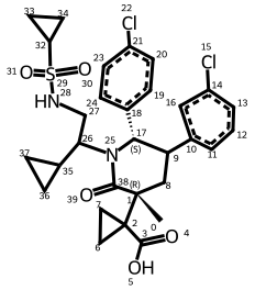 C[C@]1(C2(C(=O)O)CC2)CC(c2cccc(Cl)c2)[C@@H](c2ccc(Cl)cc2)N(C(CNS(=O)(=O)C2CC2)C2CC2)C1=O